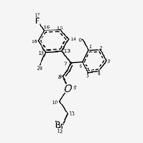 Cc1ccccc1/C(=C\OCCBr)c1ccc(F)cc1C